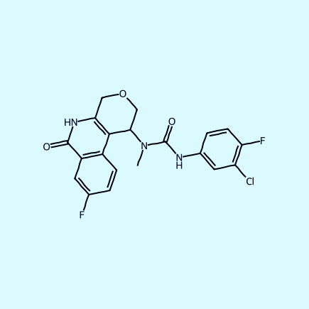 CN(C(=O)Nc1ccc(F)c(Cl)c1)C1COCc2[nH]c(=O)c3cc(F)ccc3c21